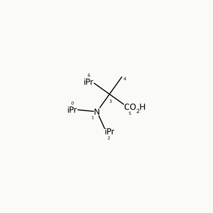 CC(C)N(C(C)C)C(C)(C(=O)O)C(C)C